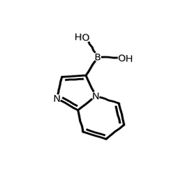 OB(O)c1cnc2ccccn12